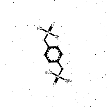 CC(C)COP(=O)(Cc1ccc(CP(=O)(O)O)cc1)OCC(C)C